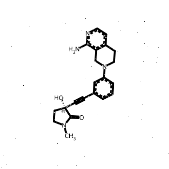 CN1CC[C@@](O)(C#Cc2cccc(N3CCc4ccnc(N)c4C3)c2)C1=O